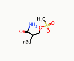 CCCCC(COS(C)(=O)=O)C(N)=O